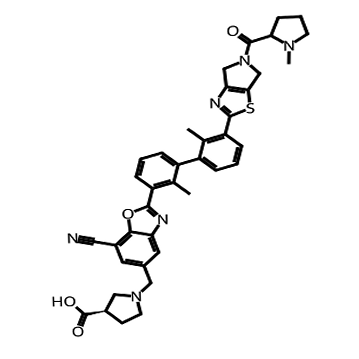 Cc1c(-c2nc3cc(CN4CC[C@@H](C(=O)O)C4)cc(C#N)c3o2)cccc1-c1cccc(-c2nc3c(s2)CN(C(=O)C2CCCN2C)C3)c1C